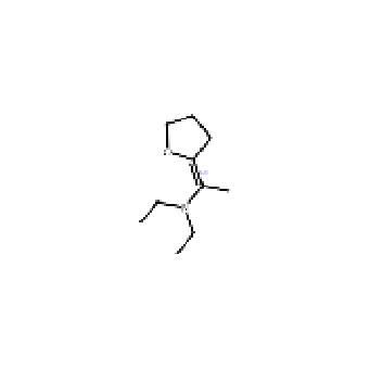 CCN(CC)/C(C)=C1/CCCO1